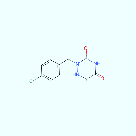 CC1NN(Cc2ccc(Cl)cc2)C(=O)NC1=O